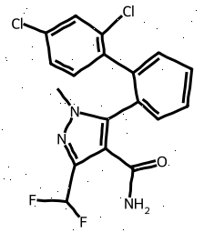 Cn1nc(C(F)F)c(C(N)=O)c1-c1ccccc1-c1ccc(Cl)cc1Cl